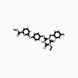 CCn1c(=O)[nH]/c(=N\c2ccc(Oc3cccc(C(=O)OC)n3)cc2)n(Cc2ccc(C)cc2)c1=O